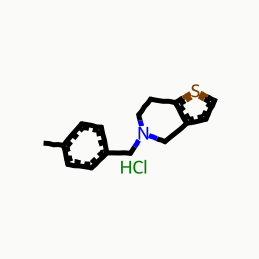 Cc1ccc(CN2CCc3sccc3C2)cc1.Cl